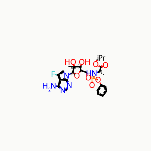 CC(C)OC(=O)[C@H](C)NP(=O)(OCC1O[C@@H](n2cc(F)c3c(N)ncnc32)[C@](C)(O)[C@H]1O)Oc1ccccc1